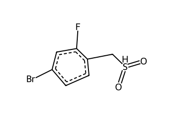 O=[SH](=O)Cc1ccc(Br)cc1F